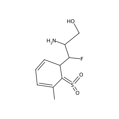 CC1=CC=CC(C(F)C(N)CO)C1=S(=O)=O